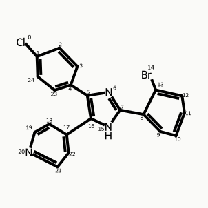 Clc1ccc(-c2nc(-c3ccccc3Br)[nH]c2-c2ccncc2)cc1